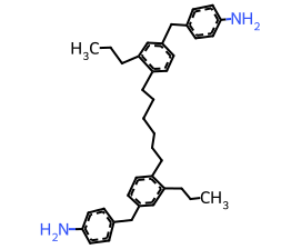 CCCc1cc(Cc2ccc(N)cc2)ccc1CCCCCCc1ccc(Cc2ccc(N)cc2)cc1CCC